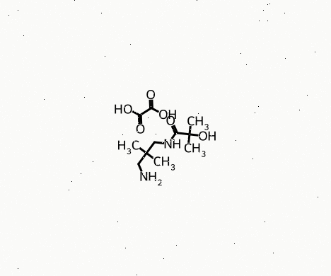 CC(C)(CN)CNC(=O)C(C)(C)O.O=C(O)C(=O)O